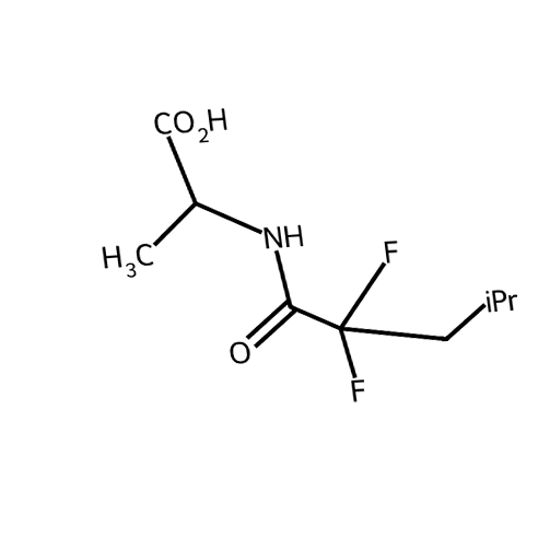 CC(C)CC(F)(F)C(=O)NC(C)C(=O)O